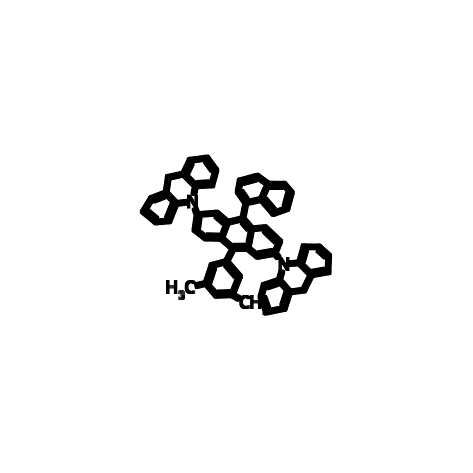 Cc1cc(C)cc(-c2c3cc(N4c5ccccc5Cc5ccccc54)ccc3c(-c3cccc4ccccc34)c3cc(N4c5ccccc5Cc5ccccc54)ccc23)c1